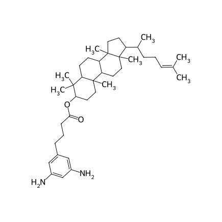 CC(C)=CCCC(C)C1CCC2(C)C3CCC4C(C)(C)C(OC(=O)CCCc5cc(N)cc(N)c5)CCC4(C)C3CCC12C